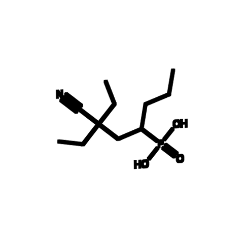 CCCC(CC(C#N)(CC)CC)P(=O)(O)O